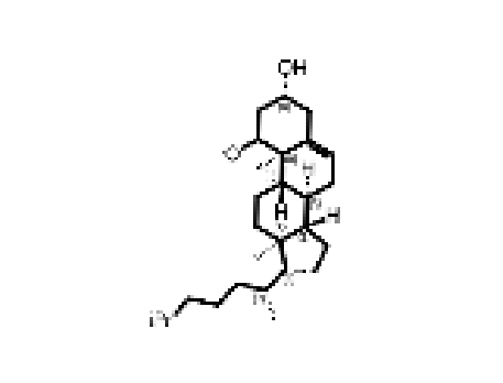 CC(C)CCC[C@@H](C)[C@H]1CC[C@H]2[C@@H]3CC=C4C[C@@H](O)CC([O])[C@]4(C)[C@H]3CC[C@]12C